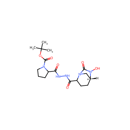 CC(C)(C)OC(=O)N1CCCC1C(=O)NNC(=O)C1CC[C@@H]2CN1C(=O)N2O